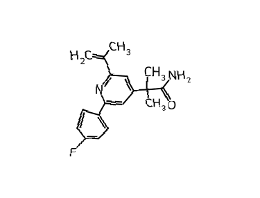 C=C(C)c1cc(C(C)(C)C(N)=O)cc(-c2ccc(F)cc2)n1